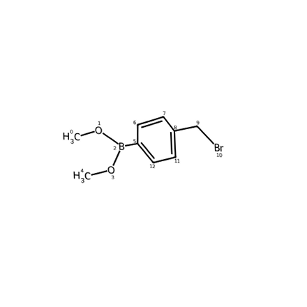 COB(OC)c1ccc(CBr)cc1